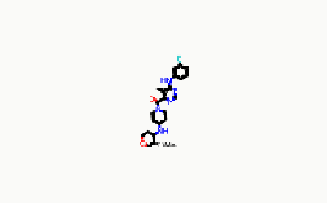 COC1COCCC1NC1CCN(C(=O)c2ncnc(Nc3cccc(F)c3)c2C)CC1